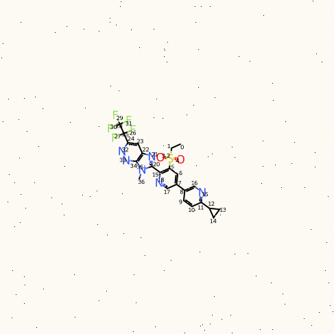 CCS(=O)(=O)c1cc(-c2ccc(C3CC3)nc2)cnc1-c1nc2cc(C(F)(F)C(F)(F)F)nnc2n1C